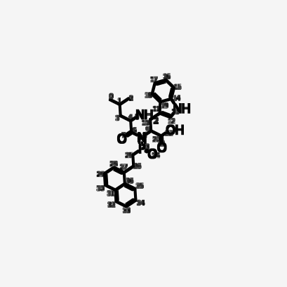 CC(C)CC(N)C(=O)N(C(Cc1c[nH]c2ccccc12)C(=O)O)[PH](=O)CCc1cccc2ccccc12